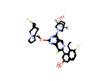 CCc1c(F)ccc2cc(O)cc(-c3ncc4c(N5C[C@@H]6C[C@H](C5)[C@H](O)C6)nc(OC[C@@]56CCCN5C/C(=C\F)C6)nc4c3F)c12